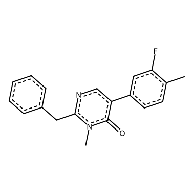 Cc1ccc(-c2cnc(Cc3ccccc3)n(C)c2=O)cc1F